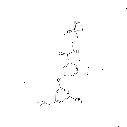 Cl.NCc1cc(Oc2cccc(C(=O)NCCS(N)(=O)=O)c2)nc(C(F)(F)F)c1